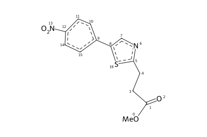 COC(=O)CCc1ncc(-c2ccc([N+](=O)[O-])cc2)s1